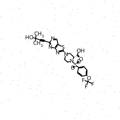 CC(C)(O)C#Cc1ncc2sc(N3CCN(S(=O)(=O)c4ccc(OC(F)(F)F)cc4)[C@@H](C(=O)O)C3)nc2n1